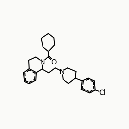 O=C(C1CCCCC1)N1CCc2ccccc2C1CCN1CCC(c2ccc(Cl)cc2)CC1